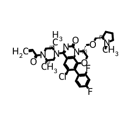 C=CC(=O)N1C[C@H](C)N(c2nc(=O)n3c4c(c(-c5ccc(F)cc5F)c(Cl)cc24)OC[C@H]3COC[C@H]2CCCN2C)C[C@H]1C